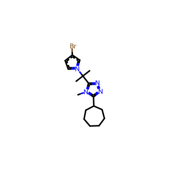 Cn1c(C2CCCCCC2)nnc1C(C)(C)n1ccc(Br)c1